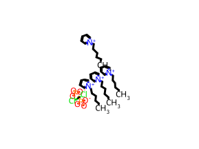 CCCCCC[n+]1ccccc1.CCCCCC[n+]1ccccc1.CCCCCC[n+]1ccccc1.CCCCCC[n+]1ccccc1.O=P([O-])([O-])C(Cl)(Cl)P(=O)([O-])[O-]